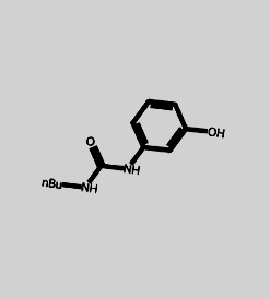 [CH2]CCCNC(=O)Nc1cccc(O)c1